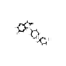 CC1(N2CCC(N3C(=O)Cc4ccc(F)cc43)CC2)CCNC1